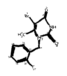 Cc1c(Br)c(=O)[nH]c(=O)n1Cc1ccccc1F